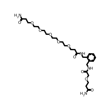 NC(=O)CCOCCOCCOCCOCCOCCC(=O)NCc1ccccc1CNC(=O)COCCC(N)=O